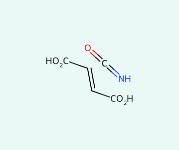 N=C=O.O=C(O)C=CC(=O)O